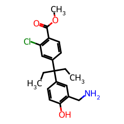 CCC(CC)(c1ccc(C(=O)OC)c(Cl)c1)c1ccc(O)c(CN)c1